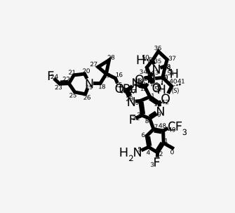 Cc1c(F)c(N)cc(-c2nc3c4c(nc(OCC5(CN6CCC(=CF)CC6)CC5)nc4c2F)N2C[C@H]4CC[C@@H]([C@H]2[C@H](C)O3)N4C(=O)OC(C)(C)C)c1C(F)(F)F